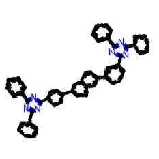 c1ccc(-c2nc(-c3ccccc3)nc(-c3ccc(-c4ccc5cc(-c6cccc(-c7nc(-c8ccccc8)nc(-c8ccccc8)n7)c6)ccc5c4)cc3)n2)cc1